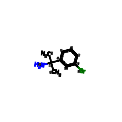 CC(C)(N)c1cccc(Br)c1